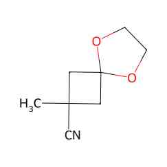 CC1(C#N)CC2(C1)OCCO2